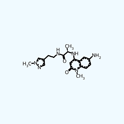 C[C@@H](Nc1cc(=O)n(C)c2ccc(N)cc12)C(=O)NCCc1cnn(C)c1